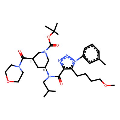 COCCCCc1c(C(=O)N(CC(C)C)[C@H]2C[C@@H](C(=O)N3CCOCC3)CN(C(=O)OC(C)(C)C)C2)nnn1-c1cccc(C)c1